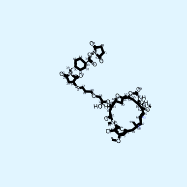 COc1cc2cc(c1Cl)N(C)C(=O)C[C@H](OC(O)COCCCSC1CC(=O)N(C[C@H]3CC[C@H](C(=O)ON4C(=O)CCC4=O)CC3)C1=O)[C@@]1(C)CC(C)(O1)C1C[C@@](O)(NC(=O)O1)[C@H](OC)/C=C/C=C(\C)C2